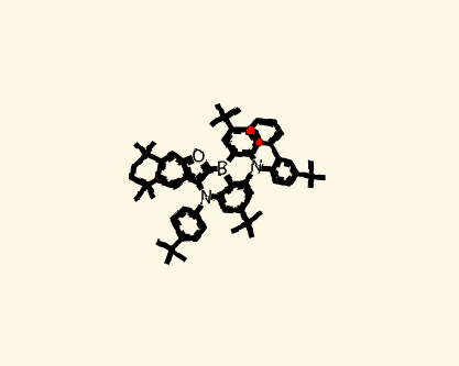 CC(C)(C)c1c#cc2c(c1)B1c3oc4cc5c(cc4c3N(c3ccc(C(C)(C)C)cc3)c3cc(C(C)(C)C)cc(c31)N2c1ccc(C(C)(C)C)cc1C1=CC=CCC1)C(C)(C)CCC5(C)C